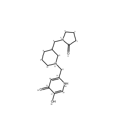 O=C1CCCN1CC1CCCN(Cc2cc(=O)c(O)c[nH]2)C1